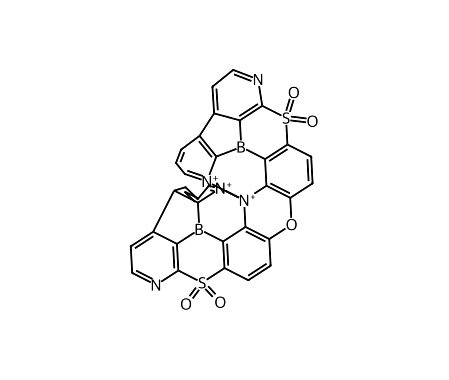 O=S1(=O)c2ccc3c4c2B2c5c(ccnc51)-c1ccc[n+](c12)[N+]41c2c(ccc4c2B2c5c(ccnc5S4(=O)=O)-c4ccc[n+]1c42)O3